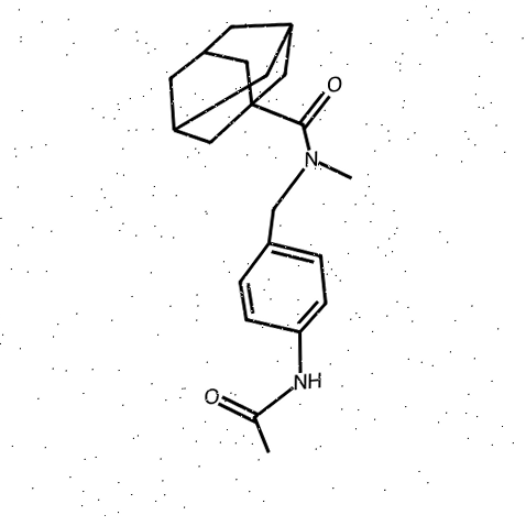 CC(=O)Nc1ccc(CN(C)C(=O)C23CC4CC(CC(C4)C2)C3)cc1